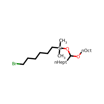 CCCCCCCCOC(CCCCCCC)O[Si](C)(C)CCCCCCBr